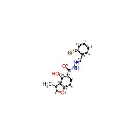 Cc1coc2ccc(C(=O)N/N=C/c3ccccc3Br)c(O)c12